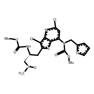 C[S+]([O-])C[C@@H](Cc1sc2c(N(Cc3ccco3)C(=O)OC(C)(C)C)cc(Cl)nc2c1Cl)NC(=O)OC(C)(C)C